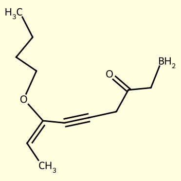 BCC(=O)CC#C/C(=C\C)OCCCC